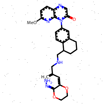 C=C(/C=C1/OCCO/C1=N/N)CNCC1CCCc2cc(-n3c(=O)cnc4ccc(OC)nc43)ccc21